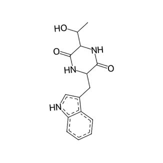 CC(O)C1NC(=O)C(Cc2c[nH]c3ccccc23)NC1=O